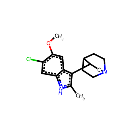 COc1cc2c(C3CN4CCC3CC4)c(C)[nH]c2cc1Cl